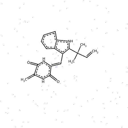 C=CC(C)(C)c1[nH]c2ccccc2c1/C=c1\[nH]c(=O)c(=C)[nH]c1=O